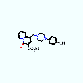 CCOC(=O)c1cc(CN2CCN(c3ccc(C#N)cc3)CC2)c2ccccn2c1=O